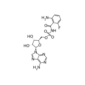 Nc1cccc(F)c1C(=O)NS(=O)(=O)OC[C@H]1O[C@@H](n2cnc3c(N)ncnc32)[C@H](O)[C@@H]1O